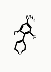 Nc1cc(F)c(C2=CCOCC2)c(F)c1